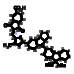 CCCCC1(CCCC)c2ccccc2-c2cc(N3c4ccc(-c5cc(C)c(/C=C6\C(=O)c7ccc(C(=O)O)cc7C6=O)s5)cc4C4CCCC43)ccc21